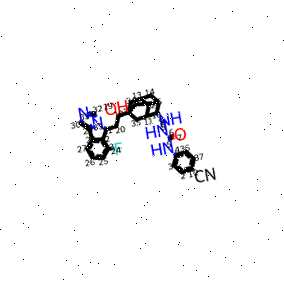 N#Cc1ccc(NC(=O)NNC2C3CC4CC2CC(C(O)CC2c5c(F)cccc5-c5cncn52)(C4)C3)cc1